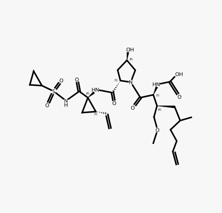 C=CCCC(C)C[C@@H](COC)[C@H](NC(=O)O)C(=O)N1C[C@H](O)C[C@H]1C(=O)N[C@]1(C(=O)NS(=O)(=O)C2CC2)C[C@H]1C=C